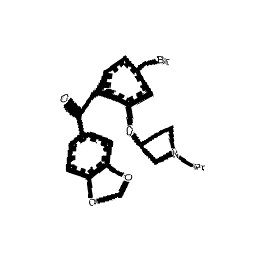 CC(C)N1CC(Oc2cc(Br)ccc2C(=O)c2ccc3c(c2)OCO3)C1